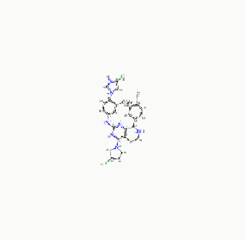 COc1cc(Nc2nc3c(c(N4CC[C@@H](F)C4)n2)CCNC3c2ccc(F)cc2)ccc1-n1cnc(Cl)c1